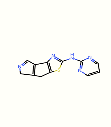 C1=NCC2=C1c1nc(Nc3ncccn3)sc1C2